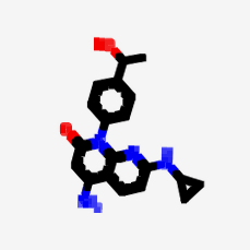 CC(O)c1ccc(-n2c(=O)cc(N)c3ccc(NC4CC4)nc32)cc1